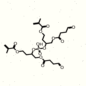 C=C(C)C(=O)OCCC(COC(=O)CCC=O)OP(=O)(O)OC(CCOC(=O)C(=C)C)COC(=O)CCC=O